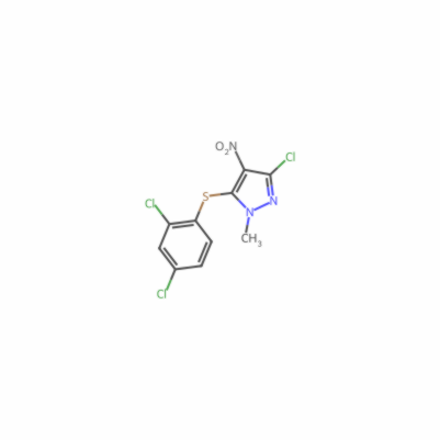 Cn1nc(Cl)c([N+](=O)[O-])c1Sc1ccc(Cl)cc1Cl